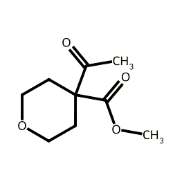 COC(=O)C1(C(C)=O)CCOCC1